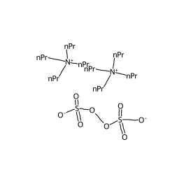 CCC[N+](CCC)(CCC)CCC.CCC[N+](CCC)(CCC)CCC.O=S(=O)([O-])OOS(=O)(=O)[O-]